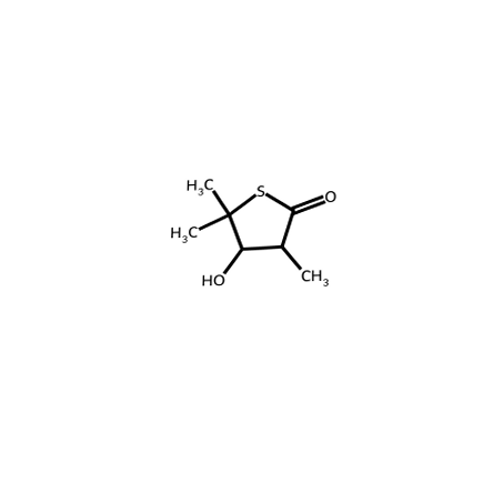 CC1C(=O)SC(C)(C)C1O